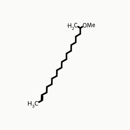 [CH2]C(CCCCCCCCCCCCCCCC=CC)OC